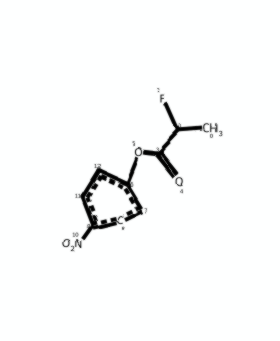 CC(F)C(=O)Oc1ccc([N+](=O)[O-])cc1